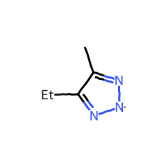 CCC1=N[N]N=C1C